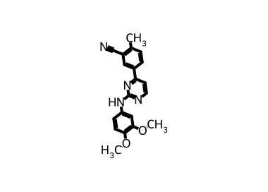 COc1ccc(Nc2nccc(-c3ccc(C)c(C#N)c3)n2)cc1OC